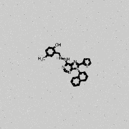 Cc1ccc(O)c(CNNc2ncnc3c2nc(-c2cccs2)n3-c2cccc3ccccc23)c1